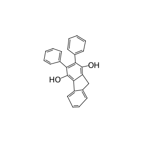 Oc1c2c(c(O)c(-c3ccccc3)c1-c1ccccc1)-c1ccccc1C2